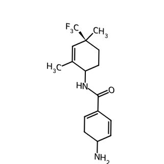 CC1=C[C@@](C)(C(F)(F)F)CCC1NC(=O)C1=CCC(N)C=C1